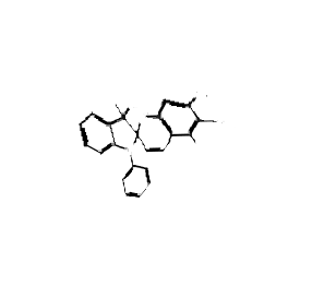 CC1(C)c2ccccc2N(c2ccccc2)C12C=Cc1c(cc(Cl)c([N+](=O)[O-])c1Cl)O2